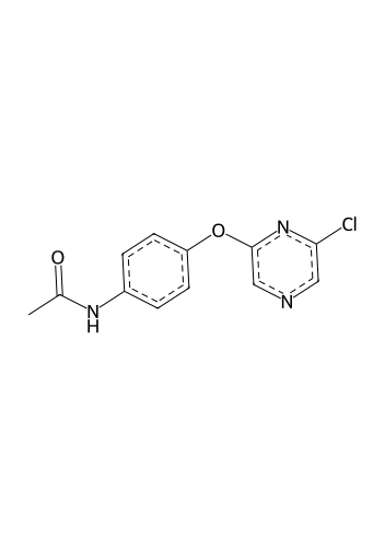 CC(=O)Nc1ccc(Oc2cncc(Cl)n2)cc1